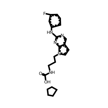 C1CCCC1.O=C(O)NCCCn1ccc2cnc(Nc3cccc(F)c3)nc21